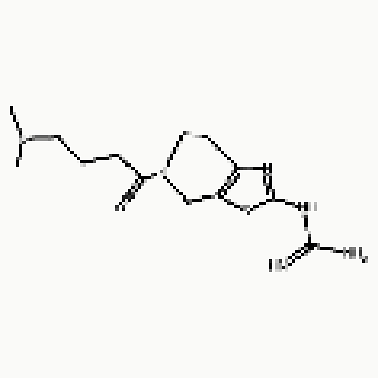 CN(C)CCCC(=O)N1CCc2nc(NC(=N)N)sc2C1